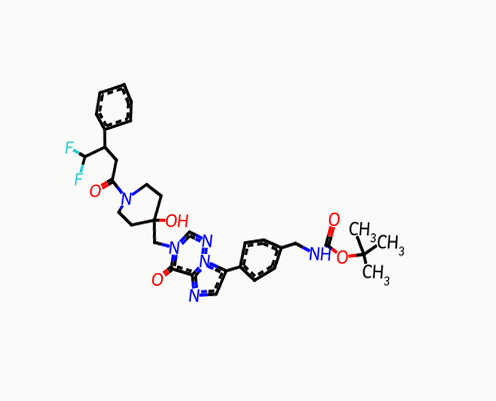 CC(C)(C)OC(=O)NCc1ccc(-c2cnc3c(=O)n(CC4(O)CCN(C(=O)CC(c5ccccc5)C(F)F)CC4)cnn23)cc1